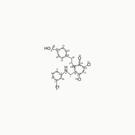 CCc1cccc(NCc2c(Cl)cc(Cl)c(=O)n2CCc2ccc(C(=O)O)cc2)c1